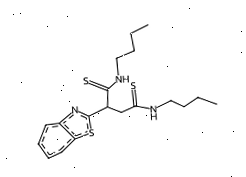 CCCCNC(=S)CC(C(=S)NCCCC)c1nc2ccccc2s1